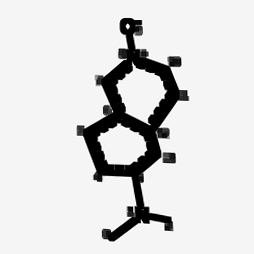 CN(C)c1ccc2c[n+]([O-])ccc2c1